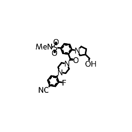 CNS(=O)(=O)c1ccc(N2CCC(CO)C2)c(C(=O)N2CCN(c3ccc(C#N)cc3F)CC2)c1